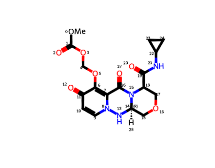 COC(=O)OCOc1c2n(ccc1=O)N[C@@H]1COCC(C(=O)NC3CC3)N1C2=O